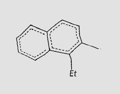 [CH2]c1ccc2ccccc2c1CC